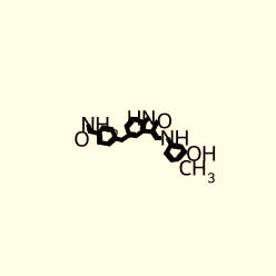 Cc1ccc(NC=C2C(=O)Nc3ccc(Cc4ccc(C(N)=O)cc4)cc32)cc1O